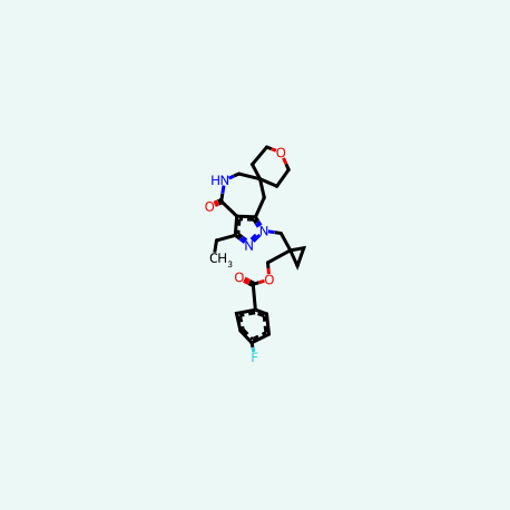 CCc1nn(CC2(COC(=O)c3ccc(F)cc3)CC2)c2c1C(=O)NCC1(CCOCC1)C2